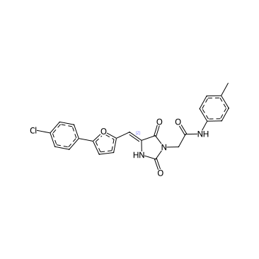 Cc1ccc(NC(=O)CN2C(=O)N/C(=C\c3ccc(-c4ccc(Cl)cc4)o3)C2=O)cc1